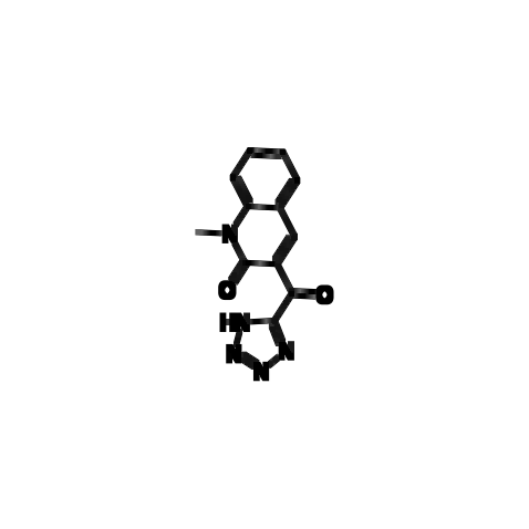 Cn1c(=O)c(C(=O)c2nnn[nH]2)cc2ccccc21